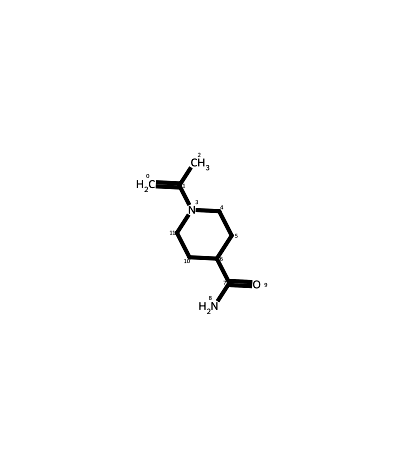 C=C(C)N1CCC(C(N)=O)CC1